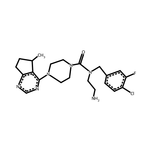 CC1CCc2ncnc(N3CCN(C(=O)N(CCN)Cc4ccc(Cl)c(F)c4)CC3)c21